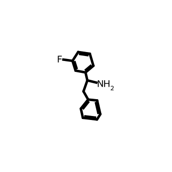 NC(Cc1ccccc1)c1cccc(F)c1